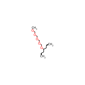 C=CCC(CC=C)OCOCOCOCOC